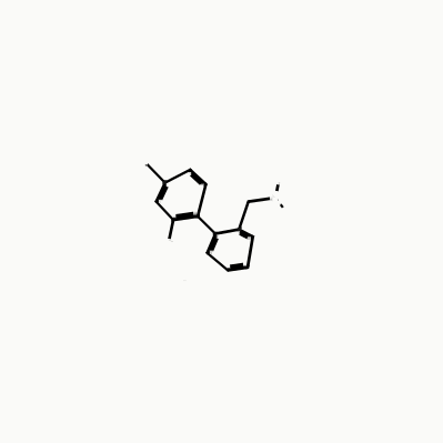 CN(C)Cc1ccccc1-c1ccc(Cl)cc1Cl.Cl